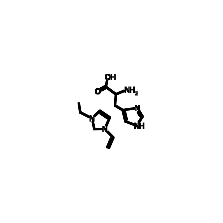 C=CN1C=CN(CC)C1.NC(Cc1c[nH]cn1)C(=O)O